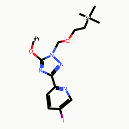 CC(C)Oc1nc(-c2ccc(I)cn2)nn1COCC[Si](C)(C)C